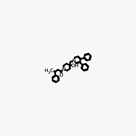 C[C@H](CC(=O)N1CCC(O)(CN2C=C(c3ccccc3)C(c3ccccc3)=CC2)CC1)c1ccccc1